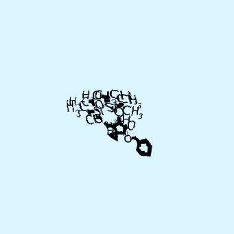 CC(C)[Si]1(C(C)C)OC[C@@H]2[C@@H](O[Si](C(C)C)(C(C)C)O1)C(=O)[C@@H](OCc1ccccc1)C21CC1